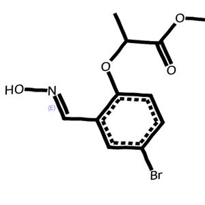 COC(=O)C(C)Oc1ccc(Br)cc1/C=N/O